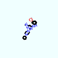 COc1cccc(Nc2cc(N(C)C)nc(N3CCN(c4ccccc4)CC3)n2)c1